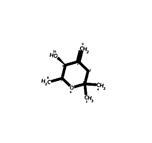 C=C1CC(C)(C)OC(C)[C@H]1O